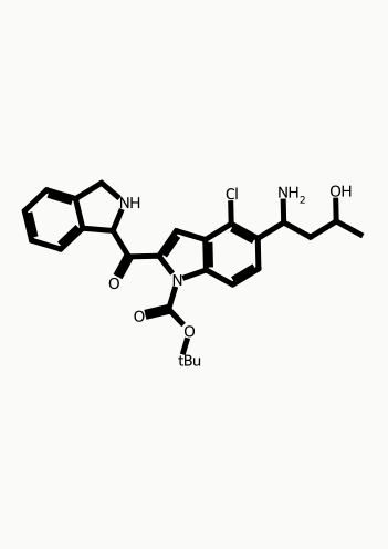 CC(O)CC(N)c1ccc2c(cc(C(=O)C3NCc4ccccc43)n2C(=O)OC(C)(C)C)c1Cl